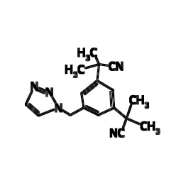 CC(C)(C#N)c1cc(Cn2ccnn2)cc(C(C)(C)C#N)c1